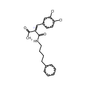 CC(=O)/C(=C/c1ccc(Cl)c(Cl)c1)C(=O)NCCCCc1ccccc1